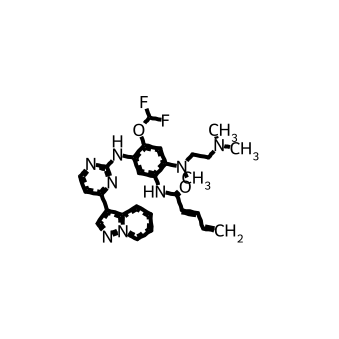 C=C/C=C/C(=O)Nc1cc(Nc2nccc(-c3cnn4ccccc34)n2)c(OC(F)F)cc1N(C)CCN(C)C